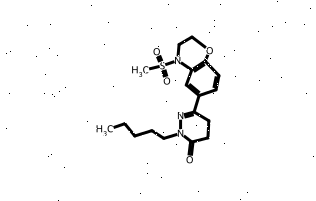 CCCCCN1N=C(c2ccc3c(c2)N(S(C)(=O)=O)CCO3)CCC1=O